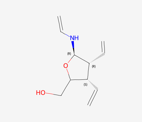 C=CN[C@@H]1OC(CO)[C@@H](C=C)[C@H]1C=C